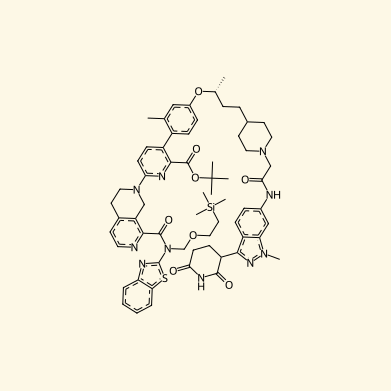 Cc1cc(O[C@H](C)CCC2CCN(CC(=O)Nc3ccc4c(C5CCC(=O)NC5=O)nn(C)c4c3)CC2)ccc1-c1ccc(N2CCc3ccnc(C(=O)N(COCC[Si](C)(C)C)c4nc5ccccc5s4)c3C2)nc1C(=O)OC(C)(C)C